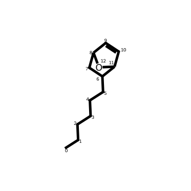 CCCCCCC1CC2C=CC1O2